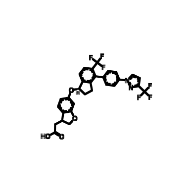 O=C(O)CC1COc2cc(O[C@@H]3CCc4c3ccc(C(F)(F)F)c4-c3ccc(-n4ccc(C(F)(F)F)n4)cc3)ccc21